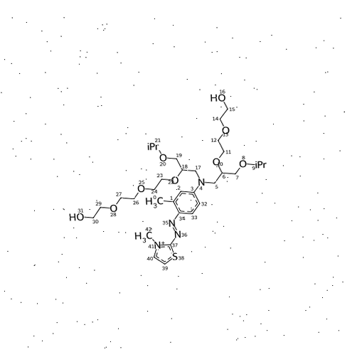 Cc1cc(N(CC(COC(C)C)OCCOCCO)CC(COC(C)C)OCCOCCOCCO)ccc1/N=N/c1scc[n+]1C